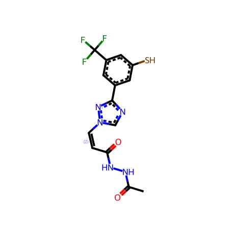 CC(=O)NNC(=O)/C=C\n1cnc(-c2cc(S)cc(C(F)(F)F)c2)n1